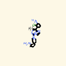 Cc1nc(N2CCC3(CCC[C@H]3N)CC2)n2ccnc2c1-c1cccc(N)c1Cl